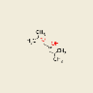 CC(C)C[C@@H](O)COC(C)C